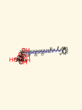 CC1=C(/C=C/C(C)=C/C=C/C(C)=C/C=C/C=C(C)/C=C/C=C(C)/C=C/C=C(C)/C=C/C(O)C(C)(C)O[C@@H]2O[C@H](CO)[C@@H](O)[C@H](O)[C@H]2O)C(C)(C)CCC1